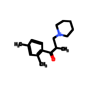 Cc1ccc(C(=O)C(C)CN2CCCCC2)c(C)c1